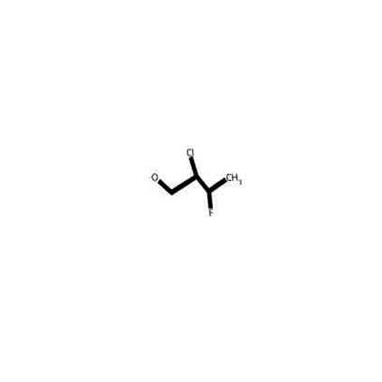 CC(F)C(Cl)C[O]